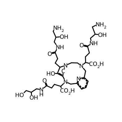 NCC(O)CNC(=O)CCC(C(=O)O)N1CCN2CC(=C(O)C2CCC(=O)NCC(O)CN)N(C(CCC(=O)NCC(O)CO)C(=O)O)Cc2cccc(n2)C1